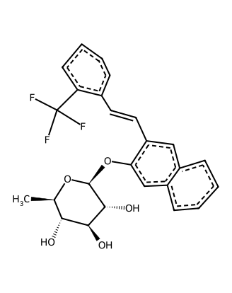 C[C@H]1O[C@@H](Oc2cc3ccccc3cc2/C=C/c2ccccc2C(F)(F)F)[C@H](O)[C@@H](O)[C@@H]1O